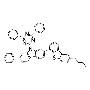 CCCCc1ccc2sc3c(-c4ccc5c6ccc(-c7ccccc7)cc6n(-c6nc(-c7ccccc7)nc(-c7ccccc7)n6)c5c4)cccc3c2c1